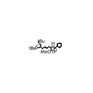 COC(=O)C(CC=CCC(CSC(C)(C)C)CSC(C)(C)C)NC(=O)c1ccccc1